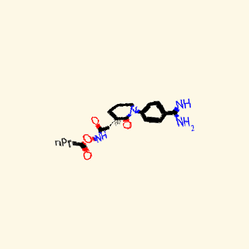 CCCC(=O)ONC(=O)C[C@@H]1CCCN(c2ccc(C(=N)N)cc2)C1=O